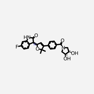 CC1(C)O/C(=C2/C(=O)Nc3cc(F)ccc32)C=C1c1ccc(C(=O)N2C[C@H](O)[C@@H](O)C2)cc1